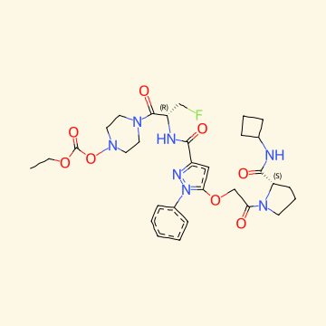 CCOC(=O)ON1CCN(C(=O)[C@H](CF)NC(=O)c2cc(OCC(=O)N3CCC[C@H]3C(=O)NC3CCC3)n(-c3ccccc3)n2)CC1